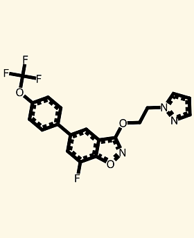 Fc1cc(-c2ccc(OC(F)(F)F)cc2)cc2c(OCCn3cccn3)noc12